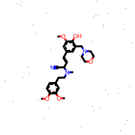 COc1ccc(CCN(C)C(C#N)C=Cc2cc(CN3CCOCC3)c(O)c(OC)c2)cc1OC